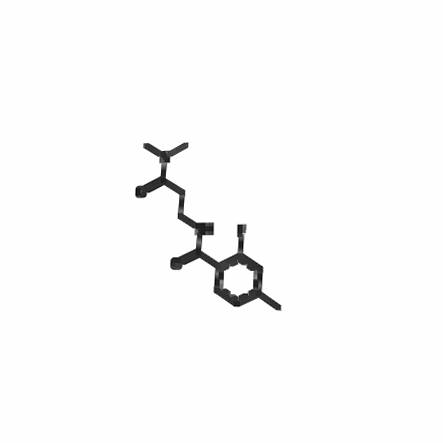 Cc1ccc(C(=O)NCCC(=O)N(C)C)c(F)c1